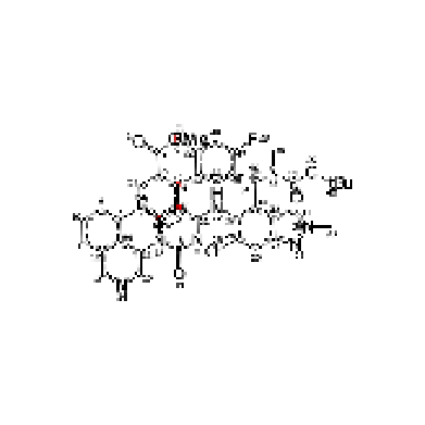 COC(=O)c1cccc(-c2cccc3cncc(-n4c(=O)nc(Nc5c(Cl)cc6nn(C)cc6c5CN(C)C(=O)OC(C)(C)C)n(Cc5cc(F)c(F)cc5F)c4=O)c23)c1